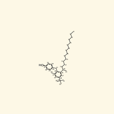 CCCCCCCCCCCCCCC(C)c1cc(C(C)(C)C)cc(C)c1Cc1ccc(O)cc1